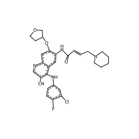 N#Cc1cnc2cc(OC3CCOC3)c(NC(=O)/C=C/CN3CCCCC3)cc2c1Nc1ccc(F)c(Cl)c1